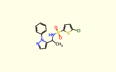 CC(NS(=O)(=O)c1ccc(Cl)s1)c1ccnn1-c1ccccc1